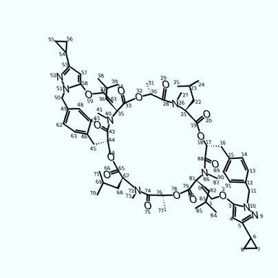 CCOc1cc(C2CC2)nn1Cc1ccc(C[C@H]2OC(=O)[C@H](CC(C)C)N(C)C(=O)[C@@H](C)OC(=O)[C@H](CC(C)C)N(C)C(=O)[C@@H](Cc3ccc(Cn4nc(C5CC5)cc4OCC)cc3)OC(=O)[C@H](CC(C)C)N(C)C(=O)[C@@H](C)OC(=O)[C@H](CC(C)C)N(C)C2=O)cc1